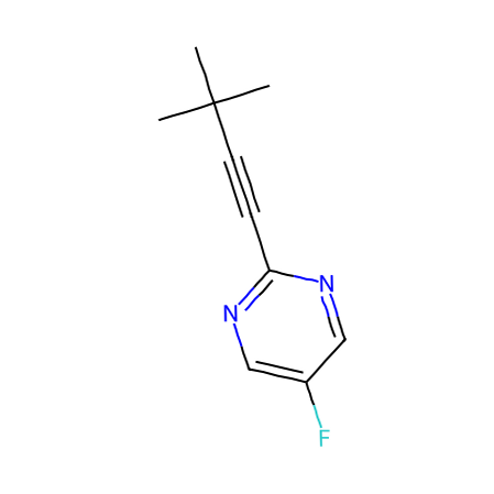 CC(C)(C)C#Cc1ncc(F)cn1